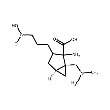 CN(C)C[C@]12C[C@H]1CC(CCCB(O)O)C2(N)C(=O)O